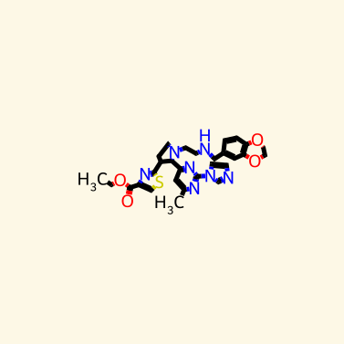 CCOC(=O)c1csc(C2CCN(CCNCc3ccc4c(c3)OCCO4)C2c2cc(C)nc(-n3ccnc3)n2)n1